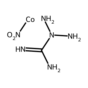 N=C(N)N(N)N.O=[N+]([O-])[Co]